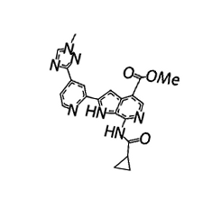 COC(=O)c1cnc(NC(=O)C2CC2)c2[nH]c(-c3cc(-c4ncn(C)n4)ccn3)cc12